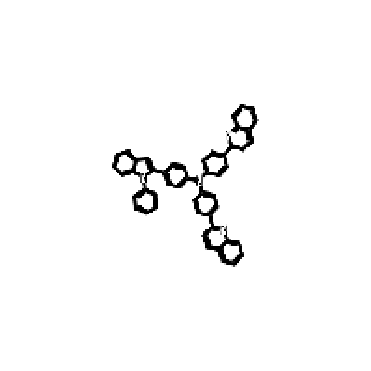 C1=CC(N(c2ccc(-c3ccc4ccccc4n3)cc2)c2ccc(-c3cc4ccccc4n3-c3ccccc3)cc2)CC=C1C1CC=c2ccccc2=N1